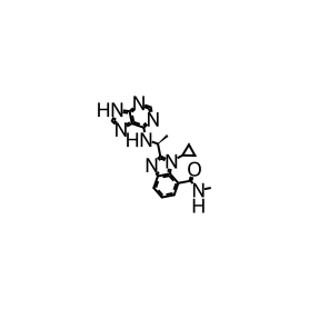 CNC(=O)c1cccc2nc([C@H](C)Nc3ncnc4[nH]cnc34)n(C3CC3)c12